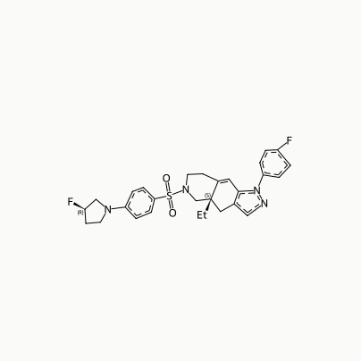 CC[C@]12Cc3cnn(-c4ccc(F)cc4)c3C=C1CCN(S(=O)(=O)c1ccc(N3CC[C@@H](F)C3)cc1)C2